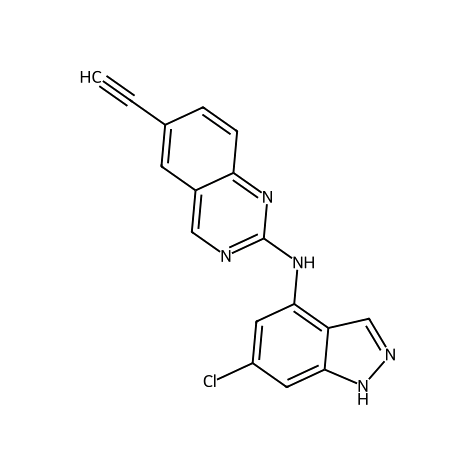 C#Cc1ccc2nc(Nc3cc(Cl)cc4[nH]ncc34)ncc2c1